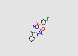 C=C(CC(C)N(C)C(=O)c1cnoc1-c1ccc(F)cc1)c1ccccc1